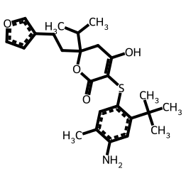 Cc1cc(SC2=C(O)CC(CCc3ccoc3)(C(C)C)OC2=O)c(C(C)(C)C)cc1N